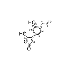 C=CCc1ccc(C2=CC(=O)OC2O)cc1O